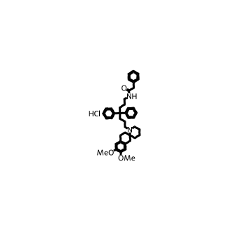 COc1cc2c(cc1OC)CC1(CCCCN1CCCC(CCCNC(=O)Cc1ccccc1)(c1ccccc1)c1ccccc1)CC2.Cl